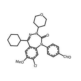 COc1cc2c(cc1Cl)N(c1ccc(C=O)cc1)C(=O)N(C1CCOCC1)N=C2C1CCCCC1